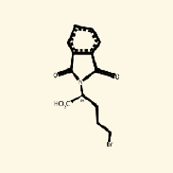 O=C(O)[C@H](CCCBr)N1C(=O)c2ccccc2C1=O